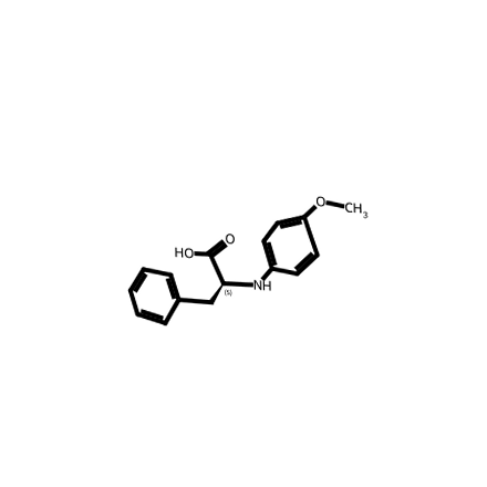 COc1ccc(N[C@@H](Cc2ccccc2)C(=O)O)cc1